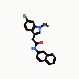 Cn1cc([CH]C(=O)Nc2ccc3ccccc3c2)c2ccc(Cl)cc21